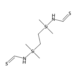 C[Si](C)(CC[Si](C)(C)NC=S)NC=S